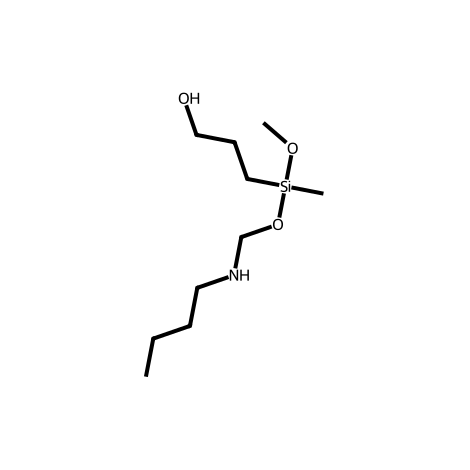 CCCCNCO[Si](C)(CCCO)OC